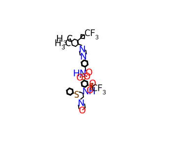 CC1(C)CCC(CN2CCN(c3ccc(C(=O)NS(=O)(=O)c4ccc(NC(CCN5CCOCC5)CSc5ccccc5)c(S(=O)(=O)C(F)(F)F)c4)cc3)CC2)=C(C23CC(C(F)(F)F)(C2)C3)C1